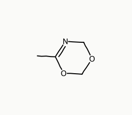 CC1=NCOCO1